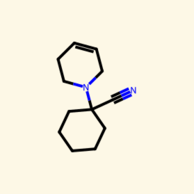 N#CC1(N2CC=CCC2)CCCCC1